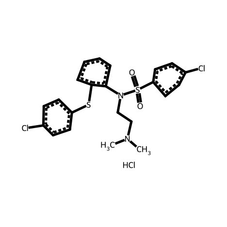 CN(C)CCN(c1ccccc1Sc1ccc(Cl)cc1)S(=O)(=O)c1ccc(Cl)cc1.Cl